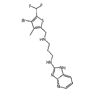 Cc1c(CNCCCNc2nc3ncccc3[nH]2)sc(C(F)F)c1Br